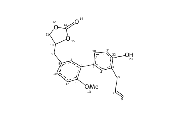 C=CCc1cc(-c2cc(CC3COC(=O)O3)ccc2OC)ccc1O